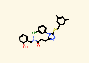 CC1=CC(C)CC(CSc2nnc(CCC(=O)NCC3=CC=CCC3O)n2-c2cccc(Cl)c2)=C1